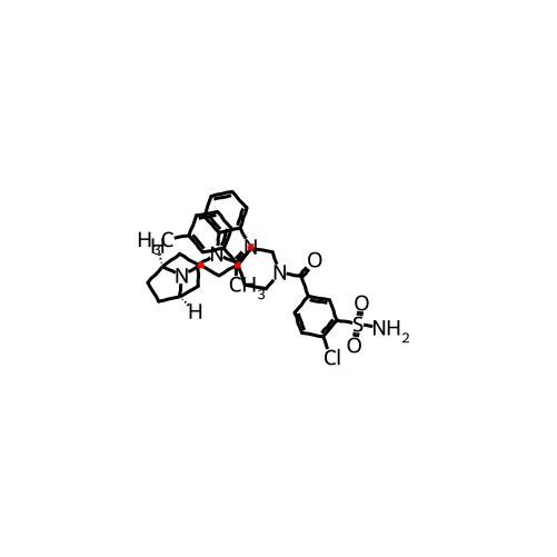 Cc1cccc(C2(CCN3[C@@H]4CC[C@H]3CC(n3c(C)nc5ccccc53)C4)CCN(C(=O)c3ccc(Cl)c(S(N)(=O)=O)c3)CC2)c1